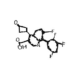 O=C1CC(c2c(C(=O)O)cnc3c(-c4cc(F)cc(F)c4F)c(F)ccc23)C1